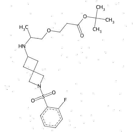 CC(COCCC(=O)OC(C)(C)C)NC1CC2(C1)CN(S(=O)(=O)c1ccccc1F)C2